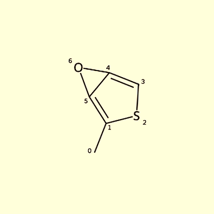 Cc1scc2c1O2